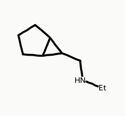 CCNCC1C2CCCC21